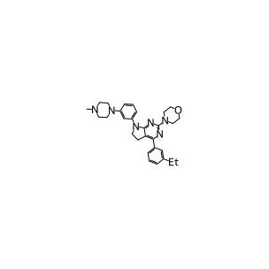 CCc1cccc(-c2nc(N3CCOCC3)nc3c2CCN3c2cccc(N3CCN(C)CC3)c2)c1